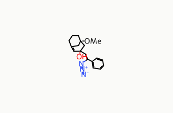 CO[C@@]12CCCC(=C[C@@](O)(CC(N=[N+]=[N-])c3ccccc3)C1)C2